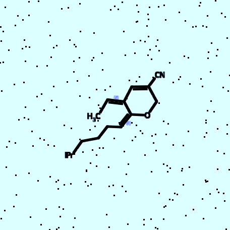 C/C=C1/C=C(C#N)CO/C1=C/CCCC(C)C